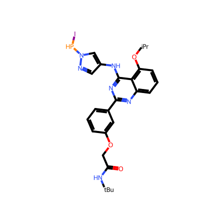 CC(C)Oc1cccc2nc(-c3cccc(OCC(=O)NC(C)(C)C)c3)nc(Nc3cnn(PI)c3)c12